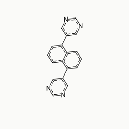 c1cc(-c2cncnc2)c2cccc(-c3cncnc3)c2c1